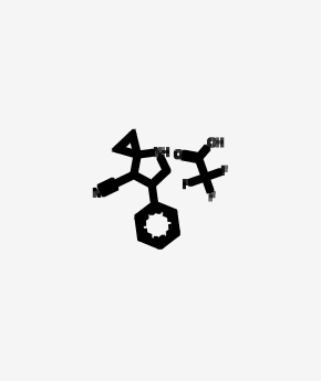 N#CC1C(c2ccccc2)CNC12CC2.O=C(O)C(F)(F)F